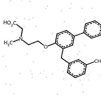 Cc1cccc(Cc2cc(-c3ccccc3)ccc2OCCN(C)CC(=O)O)c1